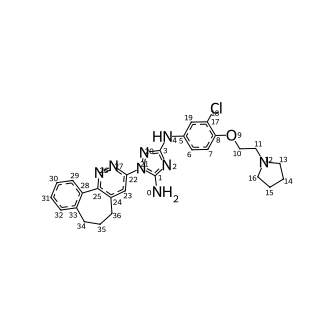 Nc1nc(Nc2ccc(OCCN3CCCC3)c(Cl)c2)nn1-c1cc2c(nn1)-c1ccccc1CCC2